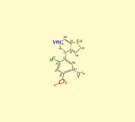 COc1cc(F)c(C2CNC=C3SCC=C32)cc1OC